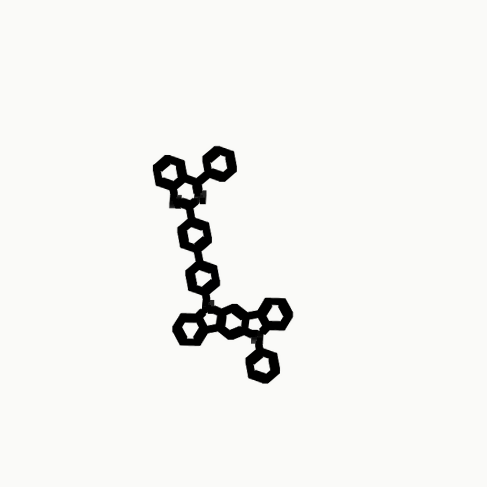 c1ccc(-c2nc(-c3ccc(-c4ccc(-n5c6ccccc6c6cc7c(cc65)c5ccccc5n7-c5ccccc5)cc4)cc3)nc3ccccc23)cc1